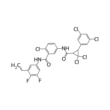 C=Cc1cc(NC(=O)c2cc(NC(=O)C3C(c4cc(Cl)cc(Cl)c4)C3(Cl)Cl)ccc2Cl)cc(F)c1F